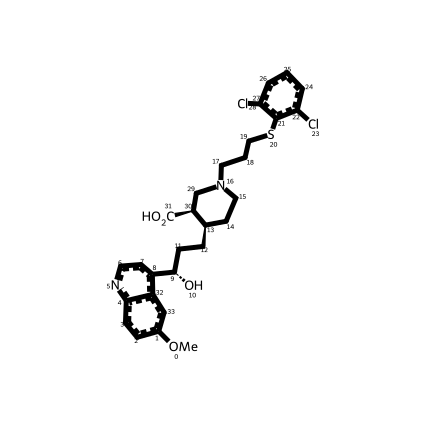 COc1ccc2nccc([C@@H](O)CC[C@@H]3CCN(CCCSc4c(Cl)cccc4Cl)C[C@@H]3C(=O)O)c2c1